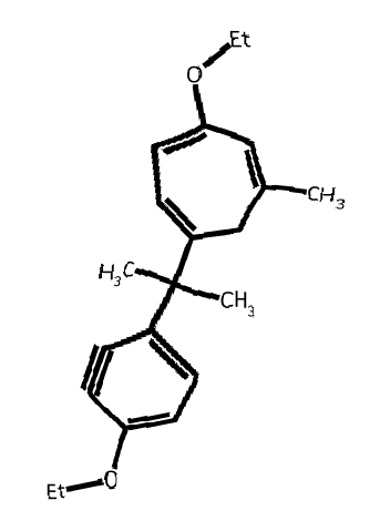 CCOC1=CC=C(C(C)(C)c2c#cc(OCC)cc2)CC(C)=C1